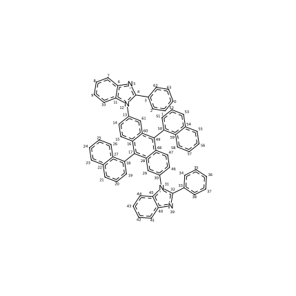 c1ccc(-c2nc3ccccc3n2-c2ccc3c(-c4cccc5ccccc45)c4cc(-n5c(-c6ccccc6)nc6ccccc65)ccc4c(-c4cccc5ccccc45)c3c2)cc1